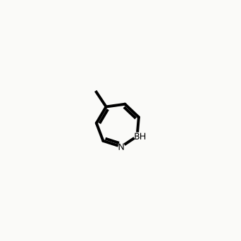 CC1=CC=NBC=C1